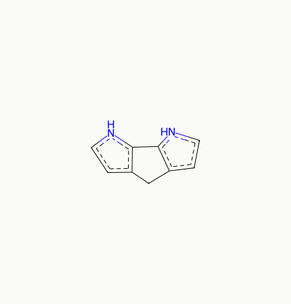 c1cc2c([nH]1)-c1[nH]ccc1C2